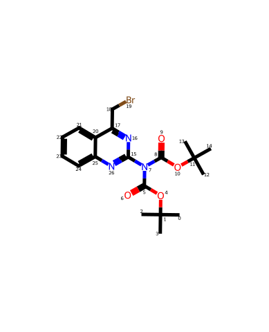 CC(C)(C)OC(=O)N(C(=O)OC(C)(C)C)c1nc(CBr)c2ccccc2n1